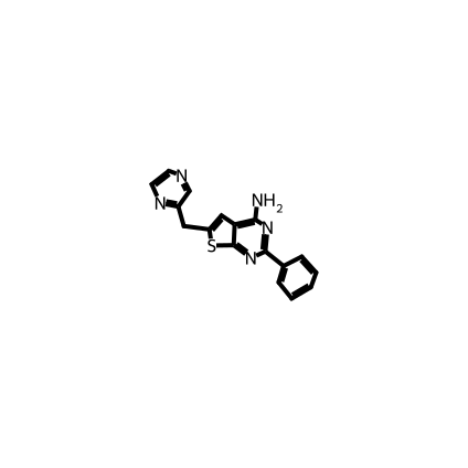 Nc1nc(-c2ccccc2)nc2sc(Cc3cnccn3)cc12